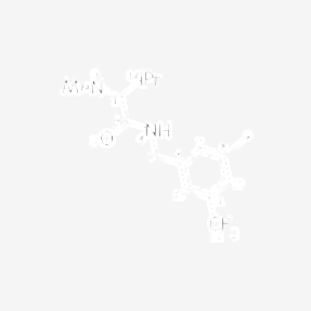 CN[C@@H](C(=O)NCc1cc(C)cc(C(F)(F)F)c1)C(C)C